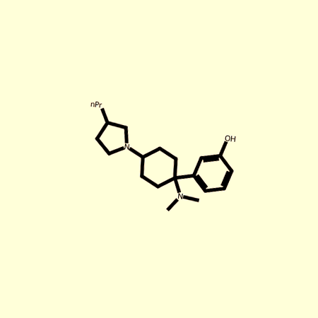 CCCC1CCN(C2CCC(c3cccc(O)c3)(N(C)C)CC2)C1